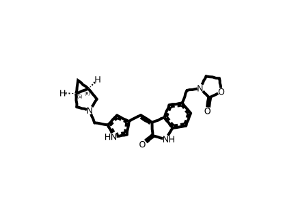 O=C1Nc2ccc(CN3CCOC3=O)cc2C1=Cc1c[nH]c(CN2C[C@H]3C[C@H]3C2)c1